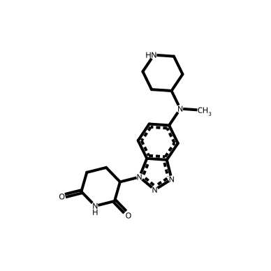 CN(c1ccc2c(c1)nnn2C1CCC(=O)NC1=O)C1CCNCC1